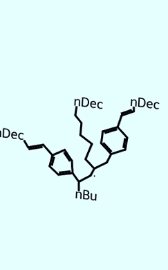 CCCCCCCCCCC=Cc1ccc(CC([CH]C(CCCC)c2ccc(C=CCCCCCCCCCC)cc2)CCCCCCCCCCCCCCC)cc1